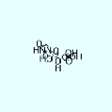 O=c1ccn([C@H]2O[C@H](COP(=O)(O)O)[C@H](O)[C@@H]2O)c(=O)[nH]1